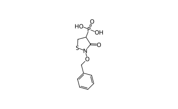 O=C1C(P(=O)(O)O)CSN1OCc1ccccc1